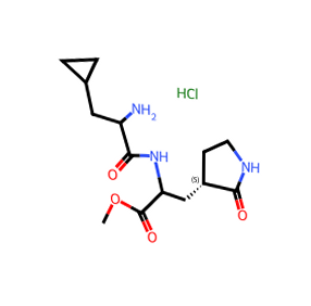 COC(=O)C(C[C@@H]1CCNC1=O)NC(=O)C(N)CC1CC1.Cl